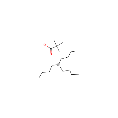 CC(C)(C)C(=O)[O-].CCC[CH2][Sn+]([CH2]CCC)[CH2]CCC